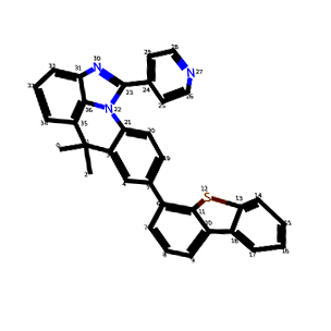 CC1(C)c2cc(-c3cccc4c3sc3ccccc34)ccc2-n2c(-c3ccncc3)nc3cccc1c32